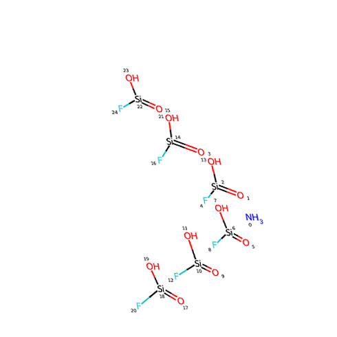 N.O=[Si](O)F.O=[Si](O)F.O=[Si](O)F.O=[Si](O)F.O=[Si](O)F.O=[Si](O)F